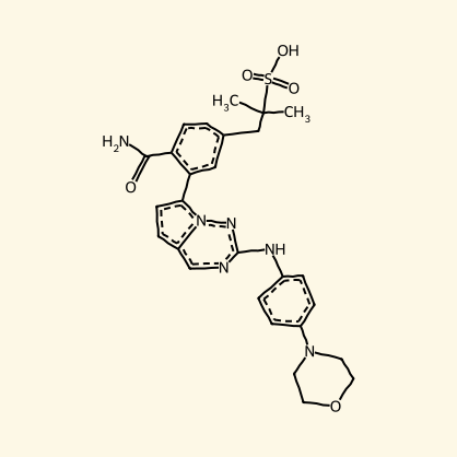 CC(C)(Cc1ccc(C(N)=O)c(-c2ccc3cnc(Nc4ccc(N5CCOCC5)cc4)nn23)c1)S(=O)(=O)O